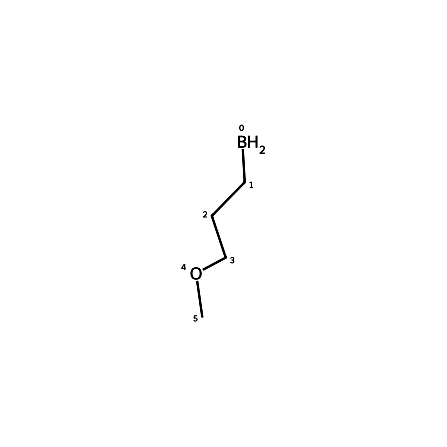 BCCCOC